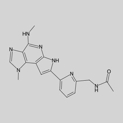 CNc1nc2[nH]c(-c3cccc(CNC(C)=O)n3)cc2c2c1ncn2C